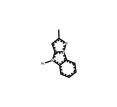 CC(=O)n1c2ccccc2n2nc(C)cc12